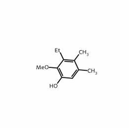 CCc1c(C)c(C)cc(O)c1OC